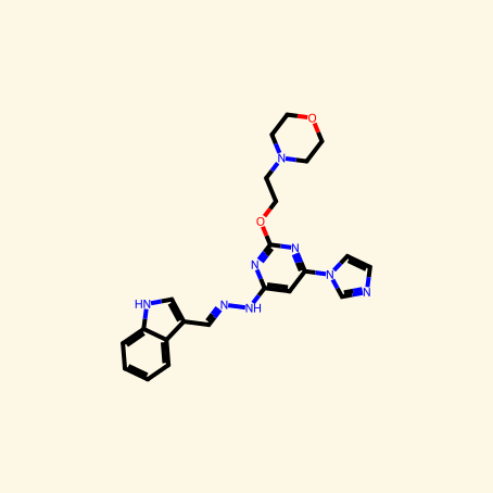 C(=NNc1cc(-n2ccnc2)nc(OCCN2CCOCC2)n1)c1c[nH]c2ccccc12